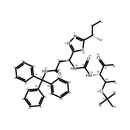 CC[C@H](C)c1nnc([C@H](CC(=O)NC(c2ccccc2)(c2ccccc2)c2ccccc2)NC(=O)N[C@H](C(C)=O)C(C)OC(C)(C)C)s1